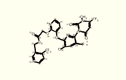 Cn1c(C(F)(F)F)cc(=O)n(-c2nc(Oc3cccnc3OCC(=O)OCc3cnccc3C(F)(F)F)c(Cl)cc2F)c1=O